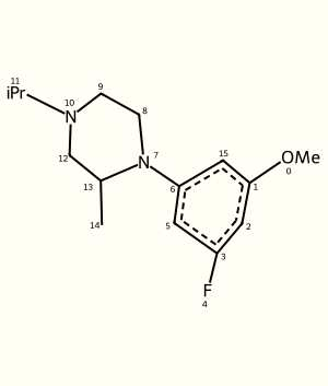 COc1cc(F)cc(N2CCN(C(C)C)CC2C)c1